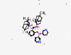 CC12CC3CC(C)(C1)CC(PC(PC14CC5CC(C)(CC(C)(C5)C1)C4)c1ccccc1CP(c1cccnc1)c1cccnc1)(C3)C2